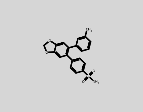 Cc1cccc(-c2cc3c(cc2-c2ccc(S(N)(=O)=O)cc2)OCO3)c1